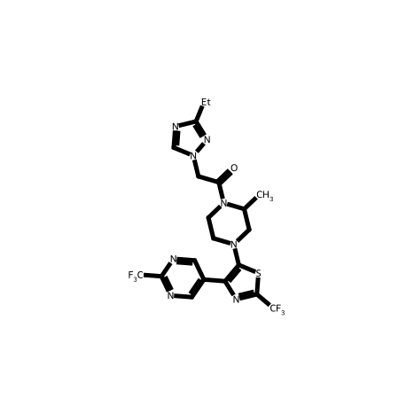 CCc1ncn(CC(=O)N2CCN(c3sc(C(F)(F)F)nc3-c3cnc(C(F)(F)F)nc3)CC2C)n1